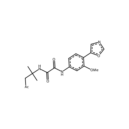 COc1cc(NC(=O)C(=O)NC(C)(C)CC(C)=O)ccc1-c1cnco1